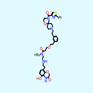 CCCCN(CCNCCc1ccc(O)c2c1OCC(=O)N2)C(=O)CCOCCc1cccc(CCN2CCC3(CC2)CN(C(=O)c2csc(C(C)C)n2)CCO3)c1